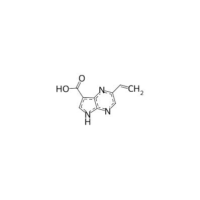 C=Cc1cnc2[nH]cc(C(=O)O)c2n1